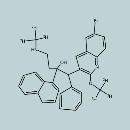 [2H]C([2H])([2H])NCCC(O)(c1cccc2ccccc12)C(c1ccccc1)c1cc2cc(Br)ccc2nc1OC([2H])([2H])[2H]